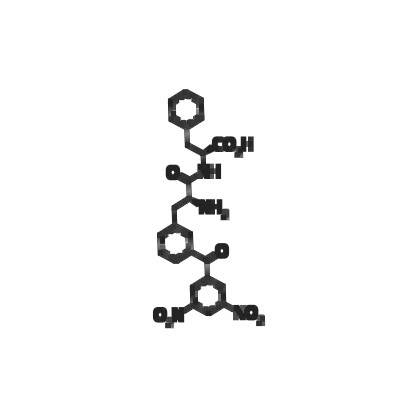 N[C@@H](Cc1cccc(C(=O)c2cc([N+](=O)[O-])cc([N+](=O)[O-])c2)c1)C(=O)N[C@@H](Cc1ccccc1)C(=O)O